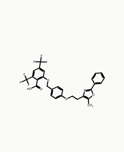 Cc1oc(-c2ccccc2)nc1CCOc1ccc(COc2cc(C(F)(F)F)cc(C(F)(F)F)c2C(=O)O)cc1